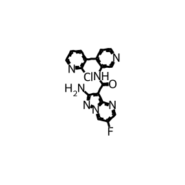 Nc1nn2cc(F)cnc2c1C(=O)Nc1cnccc1-c1cccnc1Cl